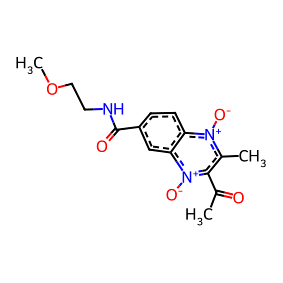 COCCNC(=O)c1ccc2c(c1)[n+]([O-])c(C(C)=O)c(C)[n+]2[O-]